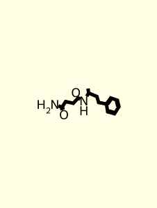 CC(CCc1ccccc1)NC(=O)CCC(N)=O